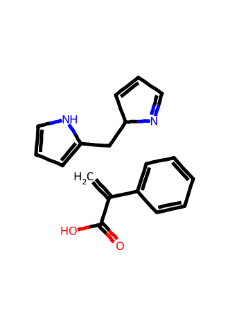 C1=CC(Cc2ccc[nH]2)N=C1.C=C(C(=O)O)c1ccccc1